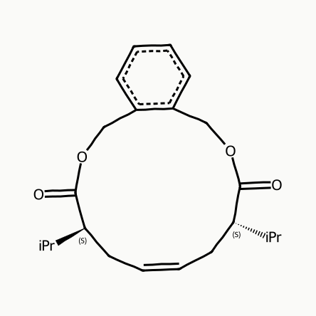 CC(C)[C@@H]1CC=CC[C@@H](C(C)C)C(=O)OCc2ccccc2COC1=O